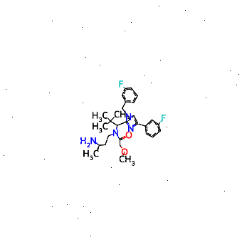 COCC(=O)N(CC[C@@H](C)N)C(c1nc(-c2cccc(F)c2)cn1Cc1cccc(F)c1)C(C)(C)C